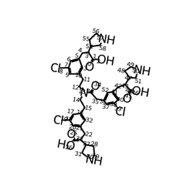 O=C(O)C(Cc1cc(Cl)cc(CCN(CCc2cc(Cl)cc(CC(C(=O)O)C3CCNC3)c2)C(=O)Cc2cc(Cl)cc(CC(C(=O)O)C3CCNC3)c2)c1)C1CCNC1